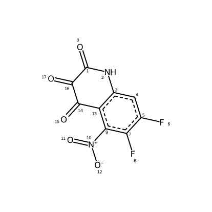 O=C1Nc2cc(F)c(F)c([N+](=O)[O-])c2C(=O)C1=O